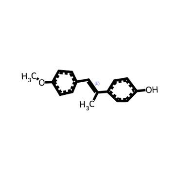 COc1ccc(/C=C(\C)c2ccc(O)cc2)cc1